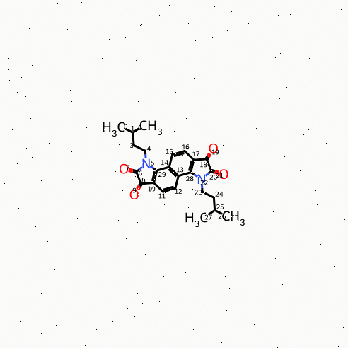 CC(C)CCn1c(=O)c(=O)c2ccc3c(ccc4c(=O)c(=O)n(CCC(C)C)c43)c21